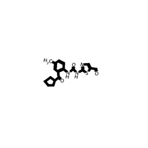 Cc1ccc(NC(=O)Nc2ncc(C=O)s2)c(C(=O)C2CCCC2)c1